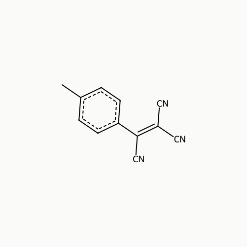 Cc1ccc(C(C#N)=C(C#N)C#N)cc1